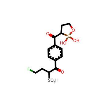 O=C(c1ccc(C(=O)C(CCF)S(=O)(=O)O)cc1)C1CCOS1(O)O